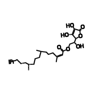 CC(=CC(=O)OCC(O)C1OC(=O)C(O)=C1O)CCCC(C)CCCC(C)CCCC(C)C